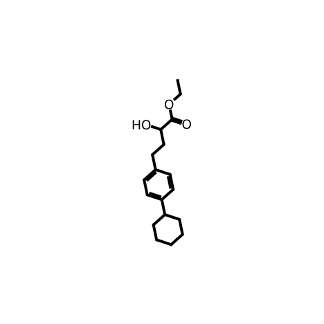 CCOC(=O)C(O)CCc1ccc(C2CCCCC2)cc1